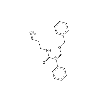 C=CCCNC(=O)[C@@H](COCc1ccccc1)c1ccccc1